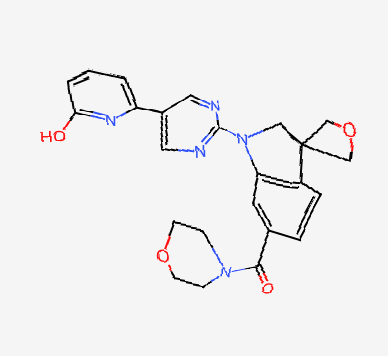 O=C(c1ccc2c(c1)N(c1ncc(-c3cccc(O)n3)cn1)CC21COC1)N1CCOCC1